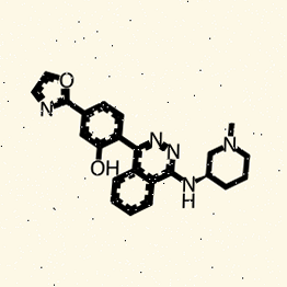 CN1CCC[C@@H](Nc2nnc(-c3ccc(-c4ncco4)cc3O)c3ccccc23)C1